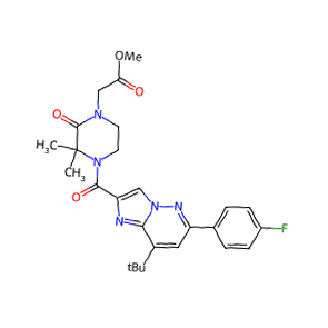 COC(=O)CN1CCN(C(=O)c2cn3nc(-c4ccc(F)cc4)cc(C(C)(C)C)c3n2)C(C)(C)C1=O